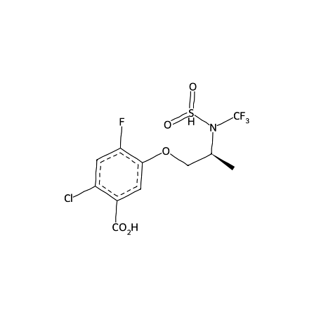 C[C@@H](COc1cc(C(=O)O)c(Cl)cc1F)N([SH](=O)=O)C(F)(F)F